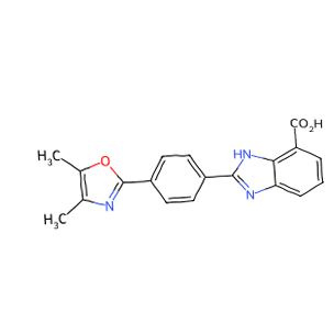 Cc1nc(-c2ccc(-c3nc4cccc(C(=O)O)c4[nH]3)cc2)oc1C